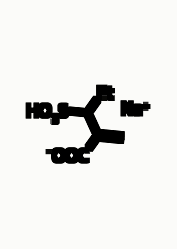 C=C(C(=O)[O-])C(CC)S(=O)(=O)O.[Na+]